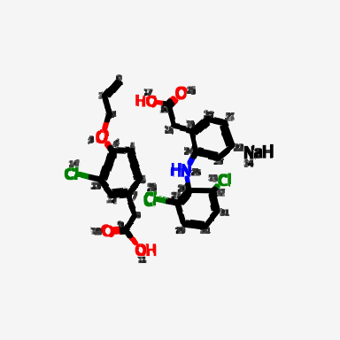 C=CCOc1ccc(CC(=O)O)cc1Cl.O=C(O)Cc1ccccc1Nc1c(Cl)cccc1Cl.[NaH]